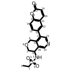 CCS(=O)(=O)NC1COCc2c(-c3ccc4oc(=O)ccc4c3)cncc21